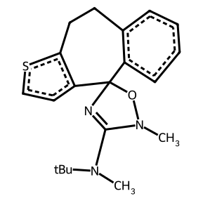 CN1OC2(N=C1N(C)C(C)(C)C)c1ccccc1CCc1sccc12